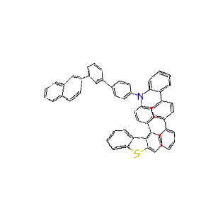 c1ccc(-c2ccc(-c3ccccc3N(c3ccc(-c4cccc(-c5ccc6ccccc6c5)c4)cc3)c3ccc(-c4cccc5sc6ccccc6c45)cc3)cc2)cc1